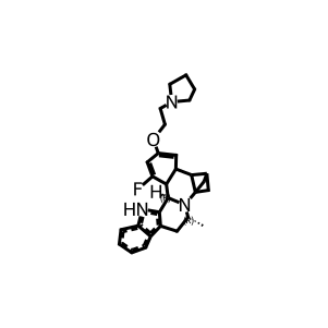 C[C@@H]1Cc2c([nH]c3ccccc23)[C@H]2C3C(F)=CC(OCCN4CCCC4)=CC3C3C4CC3(C4)N12